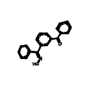 O=C(c1ccccc1)c1cccc(C(=NO)c2ccccc2)c1